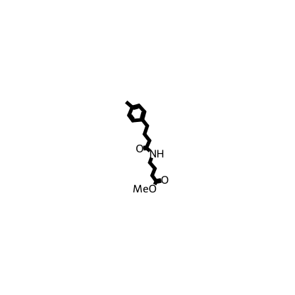 COC(=O)CCCNC(=O)CCCc1ccc(C)cc1